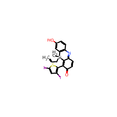 C=CC[Si]1(C)C2=C(c3sc(I)cc3I)C(=O)C=CC2=Nc2ccc(O)cc21